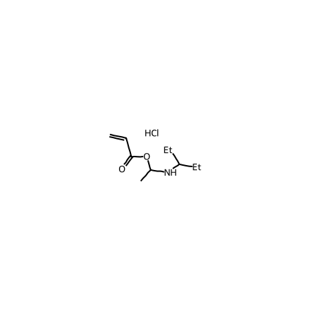 C=CC(=O)OC(C)NC(CC)CC.Cl